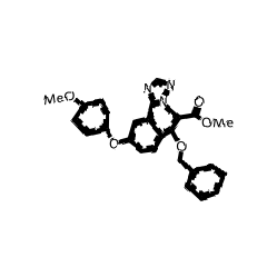 COC(=O)c1c(OCc2ccccc2)c2ccc(Oc3ccc(OC)cc3)cc2c2ncnn12